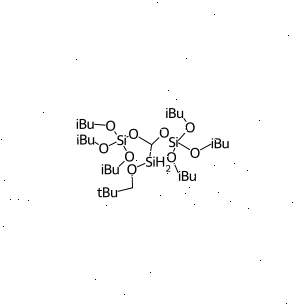 CCC(C)O[Si](OC(C)CC)(OC(C)CC)OC(O[Si](OC(C)CC)(OC(C)CC)OC(C)CC)[SiH2]OCC(C)(C)C